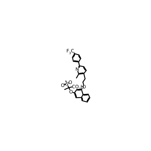 Cc1nc(-c2ccc(C(F)(F)F)cc2)ccc1CCOc1cc(OC(C)(C(=O)O)S(C)(=O)=O)cc2ccccc12